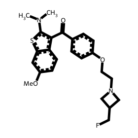 COc1ccc2c(C(=O)c3ccc(OCCN4CC(CF)C4)cc3)c(N(C)C)sc2c1